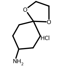 Cl.NC1CCC2(CC1)OCCO2